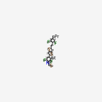 CCCc1cc(F)c(C#Cc2cc3sc(-c4cc(F)c(N=C=S)c(F)c4CC)cc3s2)c(F)c1